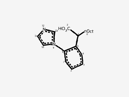 CCCCCCCCC(C(=O)O)c1ccccc1-n1ccnc1